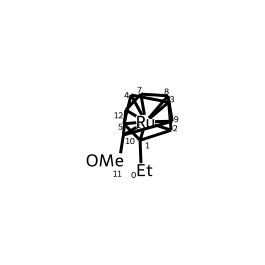 CC[C]12[CH]3[CH]4[CH]5[CH]1[Ru]45321678[CH]2[CH]1[CH]6[C]7(OC)[CH]28